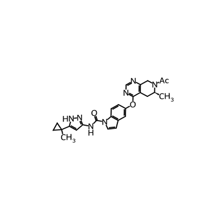 CC(=O)N1Cc2ncnc(Oc3ccc4c(ccn4C(=O)Nc4cc(C5(C)CC5)[nH]n4)c3)c2C[C@@H]1C